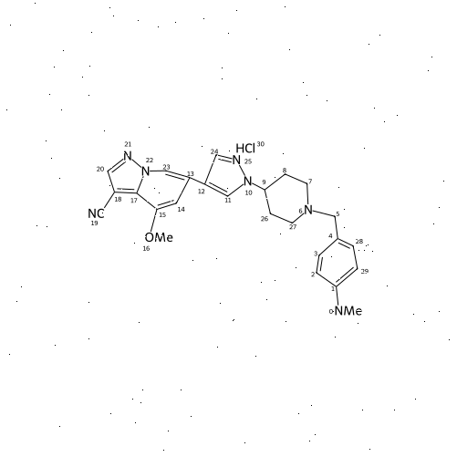 CNc1ccc(CN2CCC(n3cc(-c4cc(OC)c5c(C#N)cnn5c4)cn3)CC2)cc1.Cl